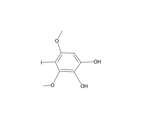 COc1cc(O)c(O)c(OC)c1I